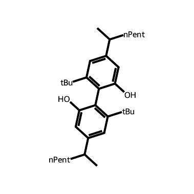 CCCCCC(C)c1cc(O)c(-c2c(O)cc(C(C)CCCCC)cc2C(C)(C)C)c(C(C)(C)C)c1